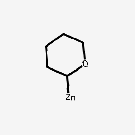 [Zn][CH]1CCCCO1